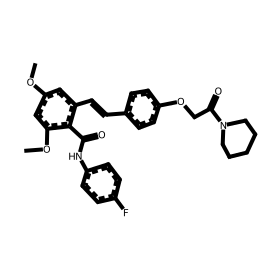 COc1cc(/C=C/c2ccc(OCC(=O)N3CCCCC3)cc2)c(C(=O)Nc2ccc(F)cc2)c(OC)c1